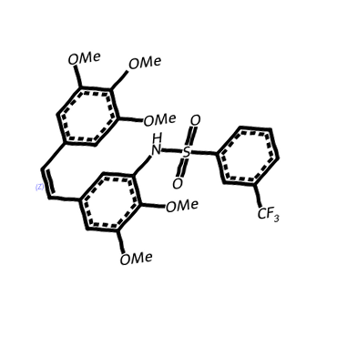 COc1cc(/C=C\c2cc(OC)c(OC)c(OC)c2)cc(NS(=O)(=O)c2cccc(C(F)(F)F)c2)c1OC